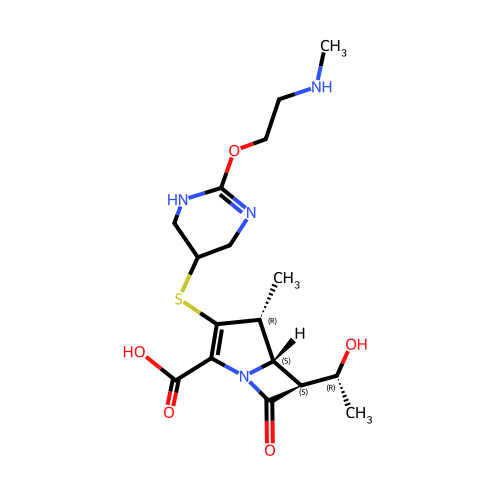 CNCCOC1=NCC(SC2=C(C(=O)O)N3C(=O)[C@H]([C@@H](C)O)[C@H]3[C@H]2C)CN1